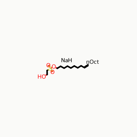 CCCCCCCC/C=C\CCCCCCCCOS(=O)(=O)CCO.[NaH]